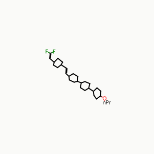 CCCOC1CCC(C2CCC(C3CCC(/C=C/C4CCC(C=C(F)F)CC4)CC3)CC2)CC1